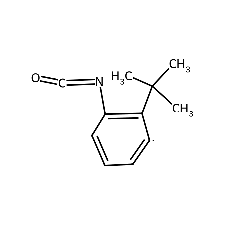 CC(C)(C)c1[c]cccc1N=C=O